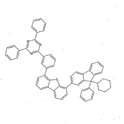 c1ccc(-c2nc(-c3ccccc3)nc(-c3cccc(-c4cccc5c4sc4c(-c6ccc7c(c6)C(c6ccccc6)(C6CCCCC6)c6ccccc6-7)cccc45)c3)n2)cc1